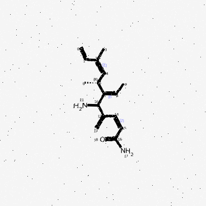 C=C/C(C)=C\[C@@H](C)/C(=C\C)C(N)C(=C)/C=C\C(N)=O